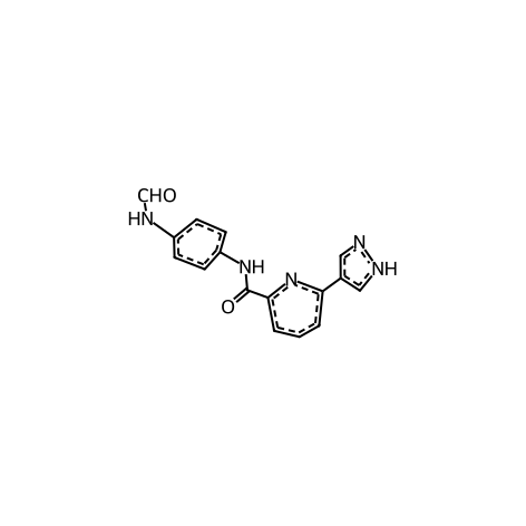 O=CNc1ccc(NC(=O)c2cccc(-c3cn[nH]c3)n2)cc1